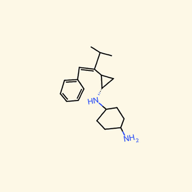 CC(C)C(=Cc1ccccc1)C1C[C@@H]1NC1CCC(N)CC1